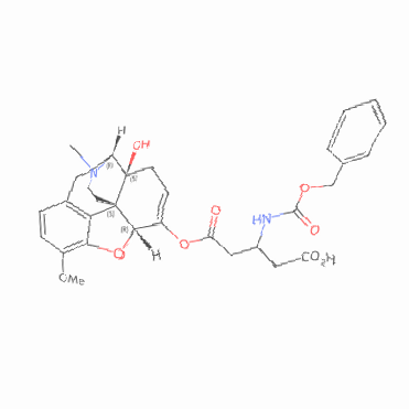 COc1ccc2c3c1O[C@H]1C(OC(=O)CC(CC(=O)O)NC(=O)OCc4ccccc4)=CC[C@@]4(O)[C@@H](C2)N(C)CC[C@]314